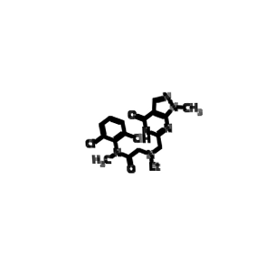 CCN(CC(=O)N(C)c1c(Cl)cccc1Cl)Cc1nc2c(cnn2C)c(=O)[nH]1